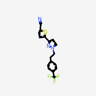 N#Cc1ccc(-c2ccn(CCc3ccc(C(F)(F)F)cc3)n2)s1